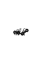 Cc1c(-c2ccnc(OCc3ccccc3C(F)(F)F)c2)cnn(C2CCCCO2)c1=O